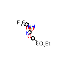 CCOC(=O)CCc1ccc(Oc2ccc(S(=O)(=O)Nc3ccc(C(F)(F)F)cc3)cn2)cc1